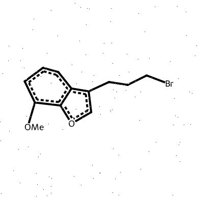 COc1cccc2c(CCCBr)coc12